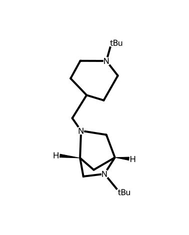 CC(C)(C)N1CCC(CN2C[C@H]3C[C@@H]2CN3C(C)(C)C)CC1